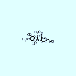 COc1cc(N)c(Cl)cc1C(=O)N[C@@H]1CCN(CCCl)C[C@@H]1OC.O